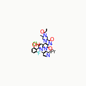 C=CC(=O)N1CC2C(=O)N(C)c3c(c4cc(Cl)c(-c5c(O)cccc5F)nc4n(-c4c(C)ccnc4C(C)C)c3=O)N2CC1C